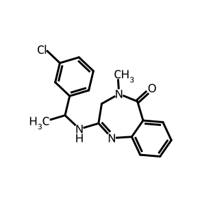 CC(NC1=Nc2ccccc2C(=O)N(C)C1)c1cccc(Cl)c1